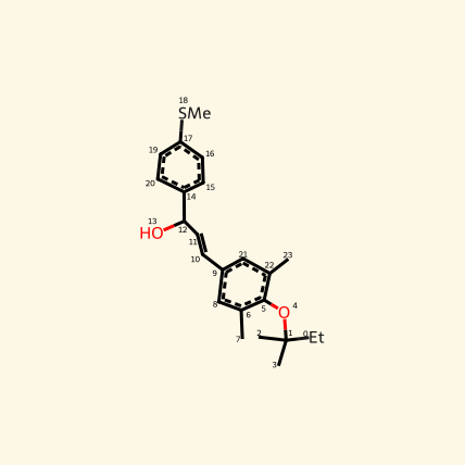 CCC(C)(C)Oc1c(C)cc(C=CC(O)c2ccc(SC)cc2)cc1C